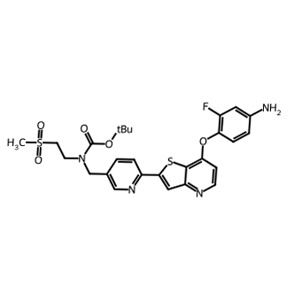 CC(C)(C)OC(=O)N(CCS(C)(=O)=O)Cc1ccc(-c2cc3nccc(Oc4ccc(N)cc4F)c3s2)nc1